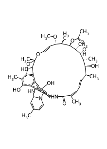 CO[C@H]1/C=C/O[C@@]2(C)Oc3c(C)c(O)c4c(O)c(c5c(c4c3C2O)NC2C=C(C)C=CN52)NC(=O)/C(C)=C\C=C\[C@H](C)[C@H](O)[C@@H](C)[C@@H](O)[C@@H](C)[C@H](OC(C)=O)[C@@H]1C